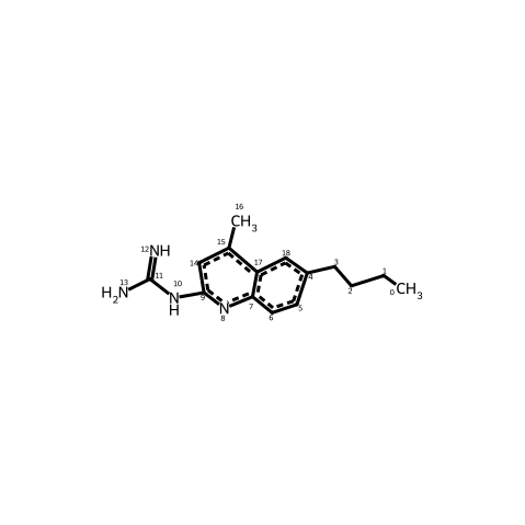 CCCCc1ccc2nc(NC(=N)N)cc(C)c2c1